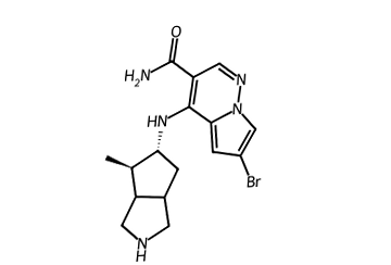 C[C@@H]1C2CNCC2C[C@H]1Nc1c(C(N)=O)cnn2cc(Br)cc12